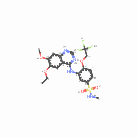 CCOc1cc2c(Nc3cc(S(=O)(=O)NC)ccc3OCC(F)(F)F)ncnc2cc1OC